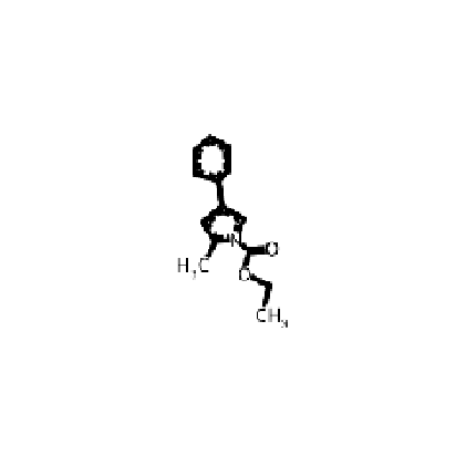 CCOC(=O)n1cc(-c2ccccc2)cc1C